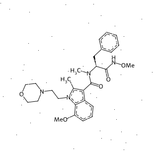 CONC(=O)[C@H](Cc1ccccc1)N(C)C(=O)c1c(C)n(CCN2CCOCC2)c2c(OC)cccc12